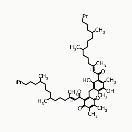 CC1=C(C)C(=O)C(C(=O)/C=C(\C)CCCC(C)CCCC(C)CCCC(C)C)=C(Cc2c(C)c(O)c(C)c(C(=O)/C=C(\C)CCCC(C)CCCC(C)CCCC(C)C)c2O)C1=O